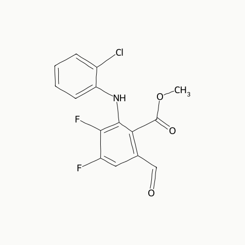 COC(=O)c1c(C=O)cc(F)c(F)c1Nc1ccccc1Cl